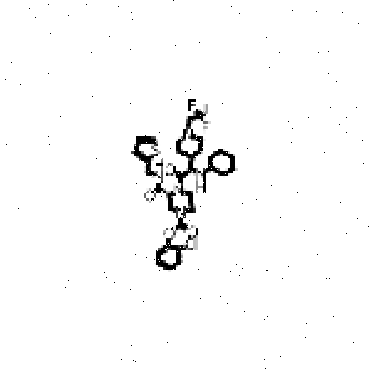 O=C(NCc1cccs1)[C@@H]1CN(C(=O)Oc2ccccc2Cl)CCN1C(=O)C(NC1CCCCC1)C1CCN(CC(F)(F)F)CC1